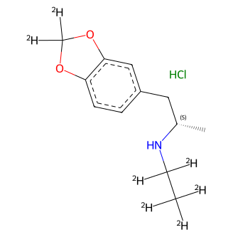 Cl.[2H]C1([2H])Oc2ccc(C[C@H](C)NC([2H])([2H])C([2H])([2H])[2H])cc2O1